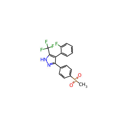 CS(=O)(=O)c1ccc(-c2n[nH]c(C(F)(F)F)c2-c2ccccc2F)cc1